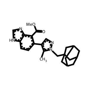 COC(=O)c1c(-c2cnn(CC34CC5CC(CC(C5)C3)C4)c2C)ccc2[nH]cnc12